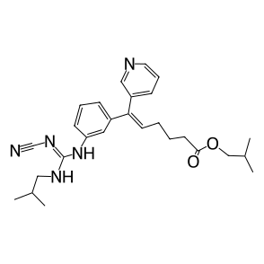 CC(C)CNC(=NC#N)Nc1cccc(C(=CCCCC(=O)OCC(C)C)c2cccnc2)c1